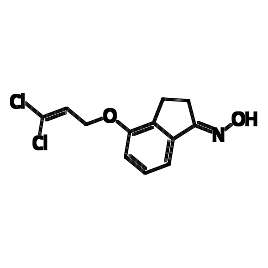 ON=C1CCc2c(OCC=C(Cl)Cl)cccc21